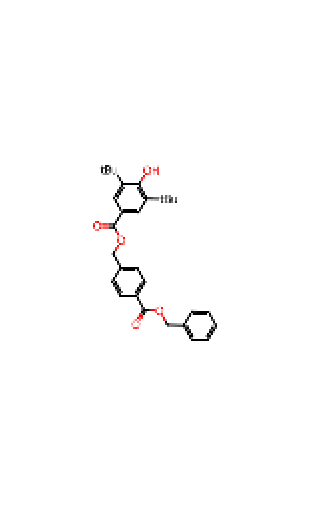 CC(C)(C)c1cc(C(=O)OCc2ccc(C(=O)OCc3ccccc3)cc2)cc(C(C)(C)C)c1O